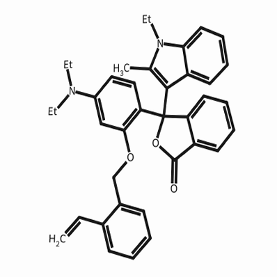 C=Cc1ccccc1COc1cc(N(CC)CC)ccc1C1(c2c(C)n(CC)c3ccccc23)OC(=O)c2ccccc21